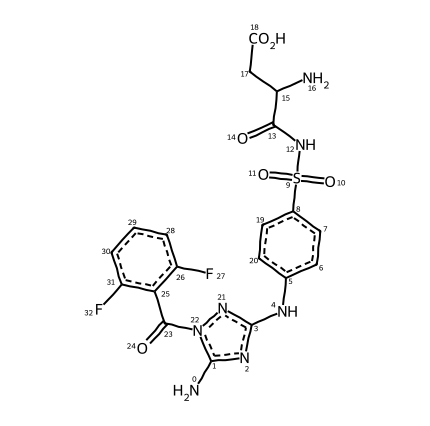 Nc1nc(Nc2ccc(S(=O)(=O)NC(=O)C(N)CC(=O)O)cc2)nn1C(=O)c1c(F)cccc1F